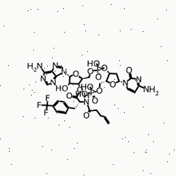 C=CCCC(=O)N[C@H](Cc1ccc(C(F)(F)F)cc1)C(=O)O[C@H]1[C@@H](O)[C@H](n2cnc3c(N)ncnc32)O[C@H]1COP(=O)(O)O[C@H]1C[C@H](n2ccc(N)nc2=O)O[C@@H]1COP(=O)(O)O